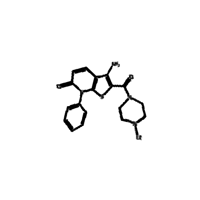 CCN1CCN(C(=O)c2sc3c(ccc(=O)n3-c3ccccc3)c2N)CC1